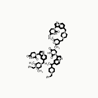 CC(C)CN1CCC(C(C)c2ccn3ncc(N4CCC(=O)NC4=O)c3c2)CC1.CC(C)CN1[C@H](C)CN(Cc2ccn3ncc(N4CCC(=O)NC4=O)c3c2)C[C@@H]1C.C[C@@H]1CC(CN2CCN(Cc3ccn4ncc(N5CCC(=O)NC5=O)c4c3)CC2)C[C@H](C)O1